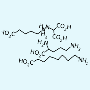 NC(C(=O)O)C(=O)O.NCCCC(N)C(=O)O.NCCCCC(=O)O.NCCCCCCCC(=O)O